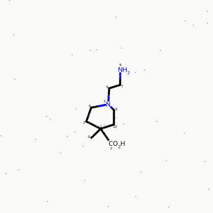 CC1(C(=O)O)CCN(CCN)CC1